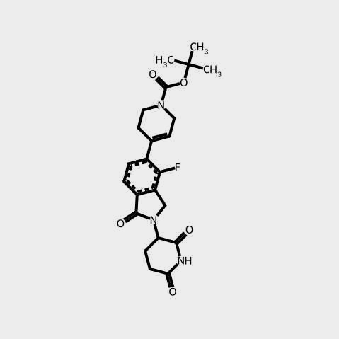 CC(C)(C)OC(=O)N1CC=C(c2ccc3c(c2F)CN(C2CCC(=O)NC2=O)C3=O)CC1